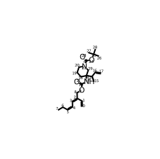 C=C/C(=C\C=C/CC)COC(=O)NC1(C(C)C=C)CCCN(C(=O)OC(C)(C)C)C1